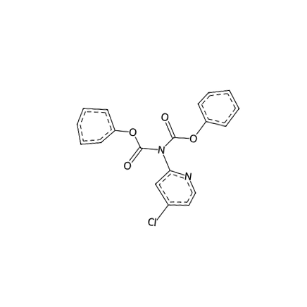 O=C(Oc1ccccc1)N(C(=O)Oc1ccccc1)c1cc(Cl)ccn1